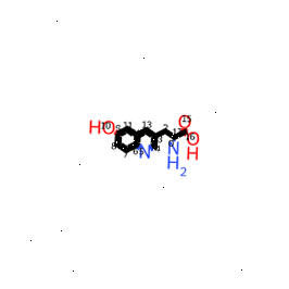 N[C@@H](Cc1cnc2ccc(O)cc2c1)C(=O)O